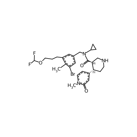 Cc1c(Br)cc(CN(C(=O)[C@H]2CNCC[C@@H]2c2ccn(C)c(=O)c2)C2CC2)cc1CCCOC(F)F